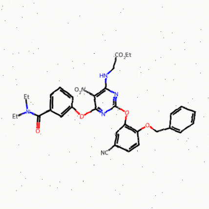 CCOC(=O)CNc1nc(Oc2cc(C#N)ccc2OCc2ccccc2)nc(Oc2cccc(C(=O)N(CC)CC)c2)c1[N+](=O)[O-]